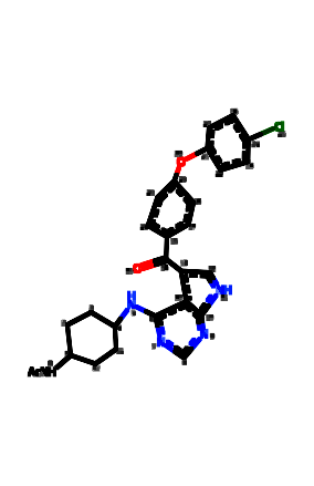 CC(=O)NC1CCC(Nc2ncnc3[nH]cc(C(=O)c4ccc(Oc5ccc(Cl)cc5)cc4)c23)CC1